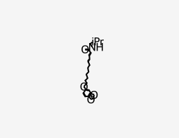 CC(C)CNC(=O)/C=C/C=C/CCCCCCCOc1ccc2c(c1)OCO2